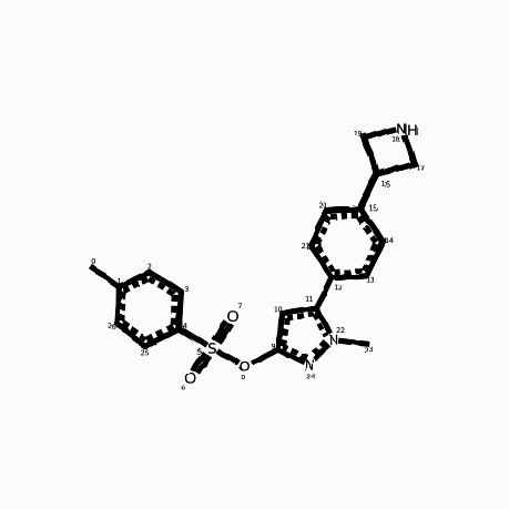 Cc1ccc(S(=O)(=O)Oc2cc(-c3ccc(C4CNC4)cc3)n(C)n2)cc1